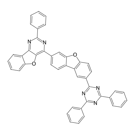 c1ccc(-c2nc(-c3ccccc3)nc(-c3ccc4oc5cc(-c6nc(-c7ccccc7)nc7c6oc6ccccc67)ccc5c4c3)n2)cc1